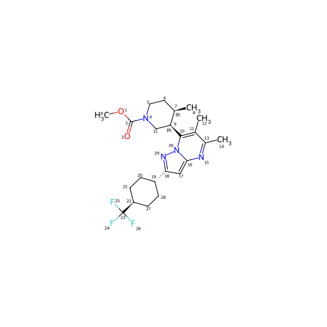 COC(=O)N1CC[C@@H](C)[C@@H](c2c(C)c(C)nc3cc([C@H]4CC[C@H](C(F)(F)F)CC4)nn23)C1